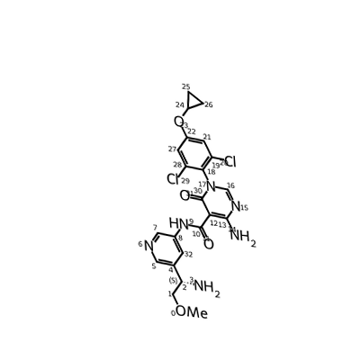 COC[C@@H](N)c1cncc(NC(=O)c2c(N)ncn(-c3c(Cl)cc(OC4CC4)cc3Cl)c2=O)c1